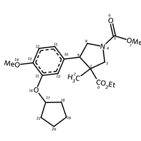 CCOC(=O)C1(C)CN(C(=O)OC)CC1c1ccc(OC)c(OC2CCCC2)c1